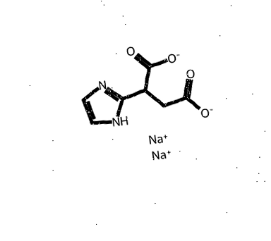 O=C([O-])CC(C(=O)[O-])c1ncc[nH]1.[Na+].[Na+]